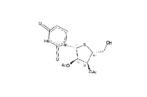 CC(=O)O[C@@H]1[C@H](OC(C)=O)[C@@H](CO)S[C@H]1n1ccc(=O)[nH]c1=O